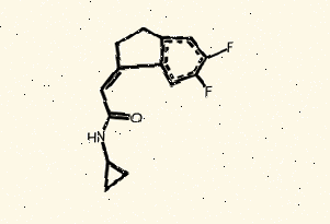 O=C(/C=C1/CCc2cc(F)c(F)cc21)NC1CC1